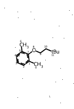 Cc1cccc(C)c1OCCC(C)(C)C